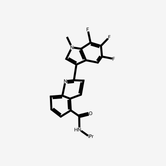 CC(C)NC(=O)c1cccc2nc(-c3cn(C)c4c(F)c(F)c(F)cc34)ccc12